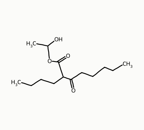 CCCCCC(=O)C(CCCC)C(=O)OC(C)O